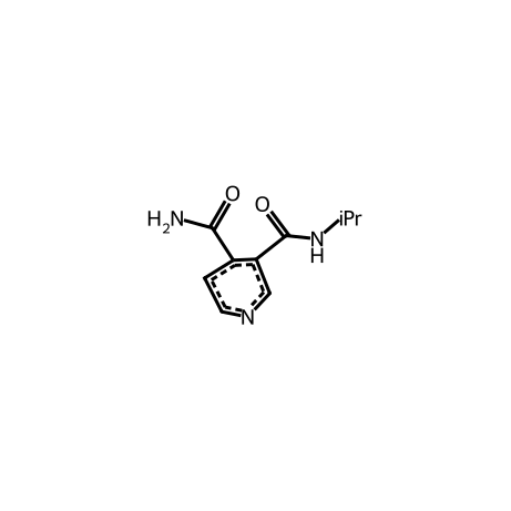 CC(C)NC(=O)c1cnccc1C(N)=O